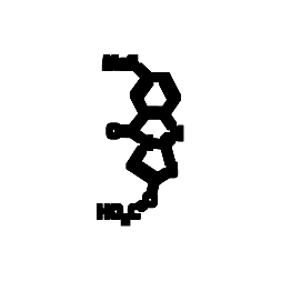 CSc1ccc2nc3sc(OC(=O)O)cn3c(=O)c2c1